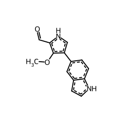 COc1c(-c2ccc3[nH]ccc3c2)c[nH]c1C=O